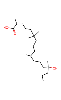 CCCC(C)(O)CCCC(C)CCCC(C)(C)CCCC(C)C(=O)O